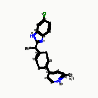 CCC(c1nc2ccc(Cl)cc2[nH]1)C1CCC(c2ccnc(C(F)(F)F)c2)CC1